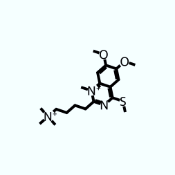 COc1cc2c(SC)nc(CCCC[N+](C)(C)C)[n+](C)c2cc1OC